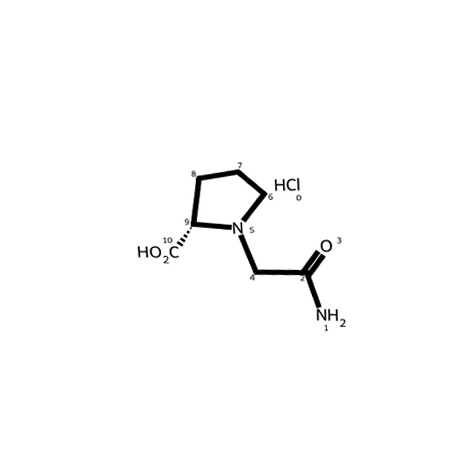 Cl.NC(=O)CN1CCC[C@H]1C(=O)O